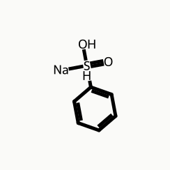 O=[SH](O)([Na])c1ccccc1